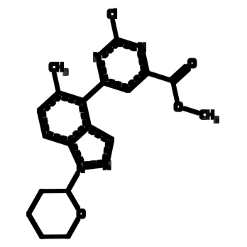 COC(=O)c1cc(-c2c(C)ccc3c2cnn3C2CCCCO2)nc(Cl)n1